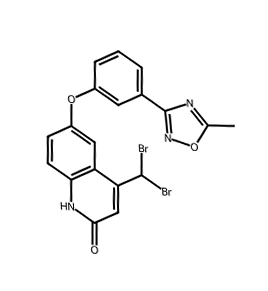 Cc1nc(-c2cccc(Oc3ccc4[nH]c(=O)cc(C(Br)Br)c4c3)c2)no1